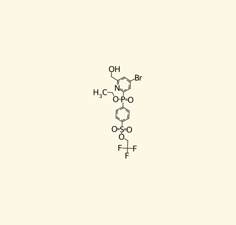 CCOP(=O)(c1ccc(S(=O)(=O)OCC(F)(F)F)cc1)c1cc(Br)cc(CO)n1